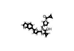 O=C(C1CC1)N1CC[C@@H](CN2C(c3ccc(-c4ccc5c(c4)N=CC5)s3)=NC3(CC3)C2O)C1